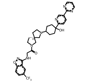 O=C(CNc1noc2ccc(C(F)(F)F)cc12)N1CC[C@@]2(CCN(C3CCC(O)(c4ccc(-c5ncccn5)cn4)CC3)C2)C1